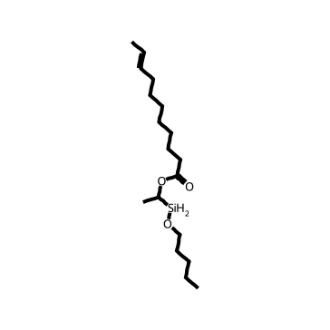 CC=CCCCCCCCC(=O)OC(C)[SiH2]OCCCCC